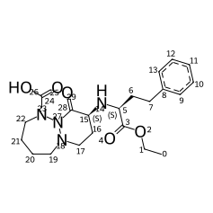 CCOC(=O)[C@H](CCc1ccccc1)N[C@H]1CCN2CCCCN(C(=O)O)N2C1=O